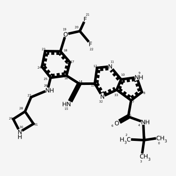 CC(C)(C)NC(=O)c1c[nH]c2ncc(C(=N)c3cc(OC(F)F)ccc3NCC3CNC3)nc12